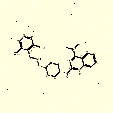 CN(C)c1nc(N[C@H]2CC[C@@H](CNCc3c(Cl)cccc3Cl)CC2)nc2ccccc12